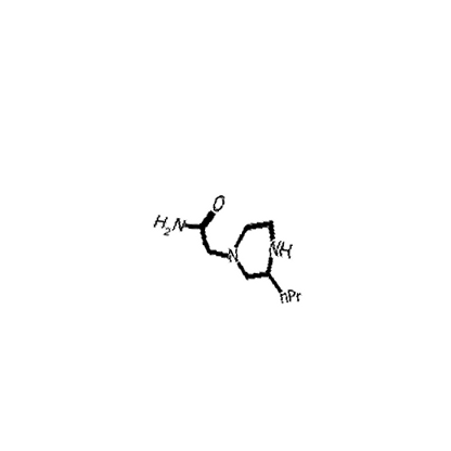 CCCC1CN(CC(N)=O)CCN1